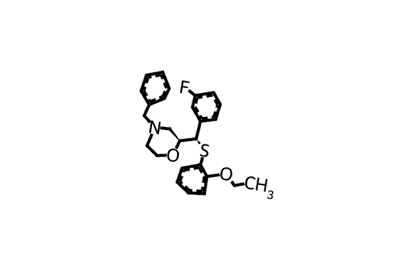 CCOc1ccccc1S[C@@H](c1cccc(F)c1)[C@@H]1CN(Cc2ccccc2)CCO1